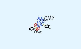 COC(=O)c1ccccc1S(=O)(=O)NC(=O)N(CSc1ccc(C)cc1)c1nc(OC)nc(N(C)C)n1